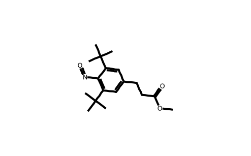 COC(=O)CCc1cc(C(C)(C)C)c(N=O)c(C(C)(C)C)c1